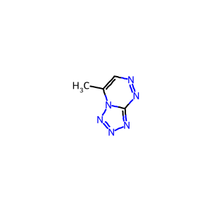 Cc1cnnc2nnnn12